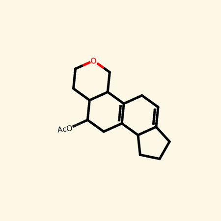 CC(=O)OC1CC2=C(CC=C3CCCC32)C2COCCC12